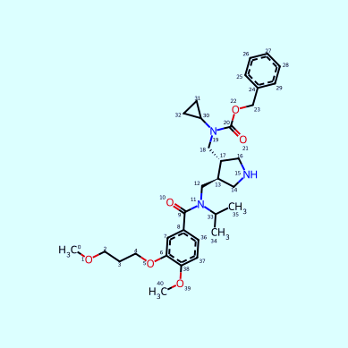 COCCCOc1cc(C(=O)N(C[C@@H]2CNC[C@H]2CN(C(=O)OCc2ccccc2)C2CC2)C(C)C)ccc1OC